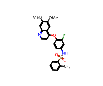 COc1cc2nccc(Oc3ccc(NS(=O)(=O)c4ccccc4C(F)(F)F)cc3F)c2cc1OC